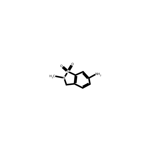 CN1Cc2ccc(N)cc2S1(=O)=O